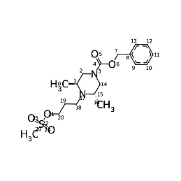 C[C@H]1CN(C(=O)OCc2ccccc2)C[C@H](C)N1CCCOS(C)(=O)=O